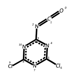 O=C=Nc1nc(Cl)nc(Cl)n1